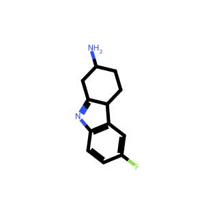 NC1CCC2C(=Nc3ccc(F)cc32)C1